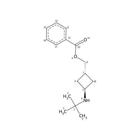 CC(C)(C)N[C@H]1C[C@H](COC(=O)c2ccccc2)C1